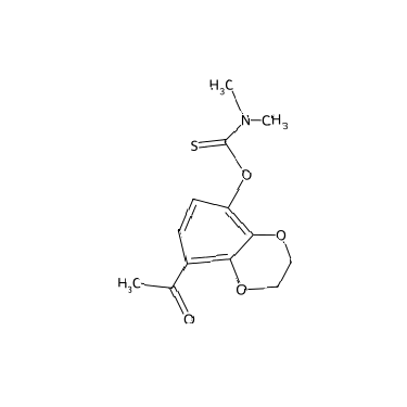 CC(=O)c1ccc(OC(=S)N(C)C)c2c1OCCO2